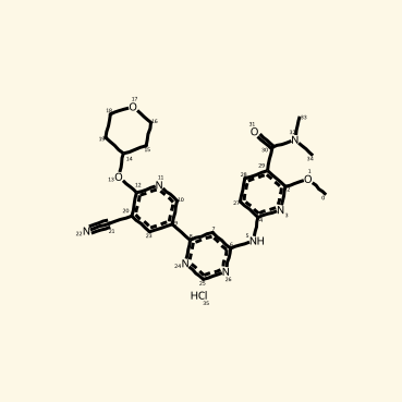 COc1nc(Nc2cc(-c3cnc(OC4CCOCC4)c(C#N)c3)ncn2)ccc1C(=O)N(C)C.Cl